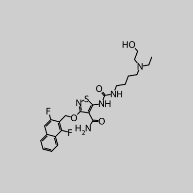 CCN(CCO)CCCCNC(=O)Nc1snc(OCc2c(F)cc3ccccc3c2F)c1C(N)=O